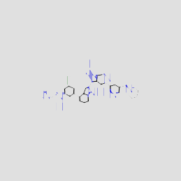 CN(C)CCNc1cc(F)cc(-c2cccc3[nH]c(-c4n[nH]c5cnc(-c6cncc(CN7CCCCC7)c6)cc45)cc23)c1